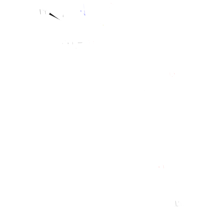 CC(C)[C@@H](NS(=O)(=O)c1ccc2oc3cc(-c4ccc(C(C)(C)C)o4)ccc3c2c1)C(=O)O